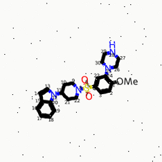 COc1ccc(S(=O)(=O)N2CCC(n3ccc4ccccc43)CC2)cc1N1CCNCC1